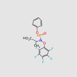 CC(C(=O)O)N(Oc1c(F)c(F)c(F)c(F)c1F)[PH](=O)Oc1ccccc1